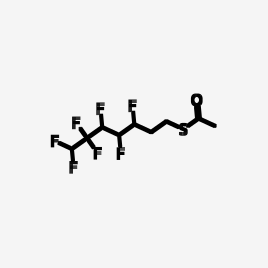 CC(=O)SCCC(F)C(F)C(F)C(F)(F)C(F)F